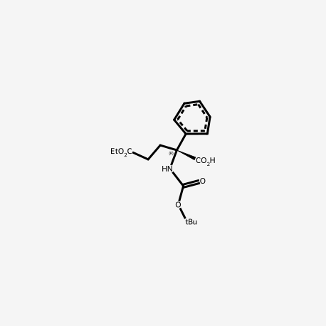 CCOC(=O)CC[C@](NC(=O)OC(C)(C)C)(C(=O)O)c1ccccc1